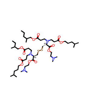 CCCC(C)COC(=O)CCN(CCC(=O)OCCCC(C)C)[C@@H](CSSC[C@@H](C(=O)OCCN(C)C)N(CCC(=O)OCCCC(C)C)CCC(=O)OCC(C)CC)C(=O)OCCN(C)C